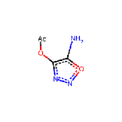 CC(=O)Oc1nnoc1N